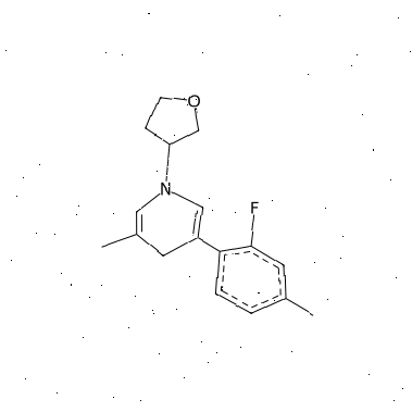 CC1=CN(C2CCOC2)C=C(c2ccc(C)cc2F)C1